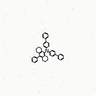 c1ccc(-c2ccc(N(c3ccc(-c4ccccc4)cc3)c3c4c(c(-c5ccccc5)c5c3CCCC5)CCCC4)cc2)cc1